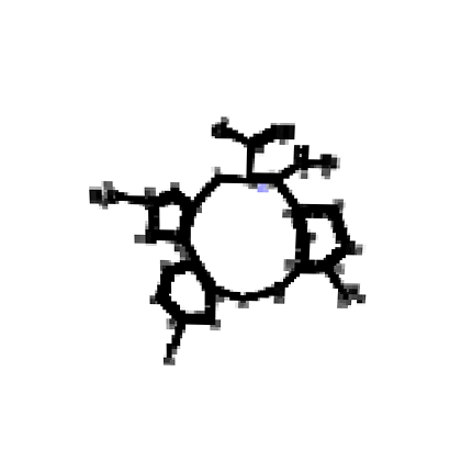 CCN/C1=C(\C(=N)Cl)Cc2cn(C)nc2-c2ccc(F)cc2COc2cc1cnc2N